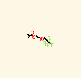 C=C(C)C(=O)OCCCOCC(F)(F)C(F)(F)C(F)(F)F